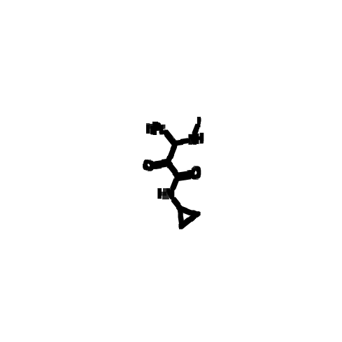 CCCC(NI)C(=O)C(=O)NC1CC1